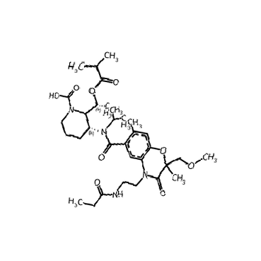 CCC(=O)NCCN1C(=O)C(C)(COC)Oc2cc(C)c(C(=O)N(C(C)C)[C@@H]3CCCN(C(=O)O)C3[C@@H](C)OC(=O)C(C)C)cc21